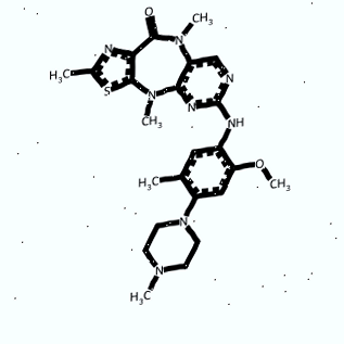 COc1cc(N2CCN(C)CC2)c(C)cc1Nc1ncc2c(n1)N(C)c1sc(C)nc1C(=O)N2C